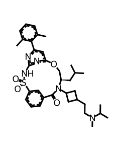 Cc1cccc(C)c1-c1cc2nc(n1)NS(=O)(=O)c1cccc(c1)C(=O)N(C1CC(CCN(C)C(C)C)C1)[C@H](CC(C)C)CO2